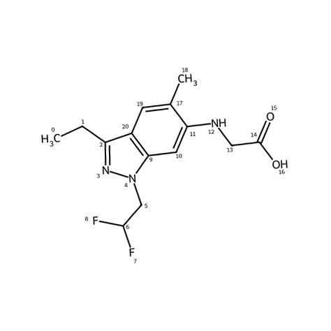 CCc1nn(CC(F)F)c2cc(NCC(=O)O)c(C)cc12